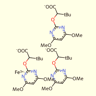 COc1cc(OC)nc(OC(C(=O)[O-])C(C)(C)C)n1.COc1cc(OC)nc(OC(C(=O)[O-])C(C)(C)C)n1.COc1cc(OC)nc(OC(C(=O)[O-])C(C)(C)C)n1.[Fe+3]